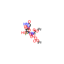 CC(C)OC(=O)OCOP(=O)(N[C@@H](C)C(=O)OC(C)C)OC[C@@]1(CF)O[C@@H](n2ccc(=O)[nH]c2=O)[C@](C)(O)[C@@H]1O